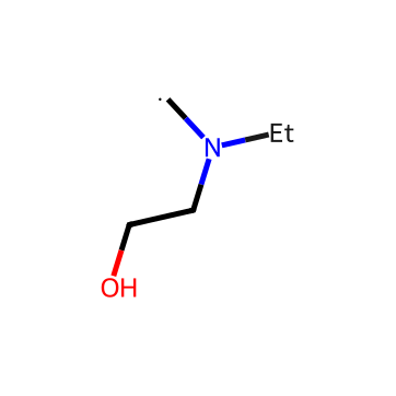 [CH2]N(CC)CCO